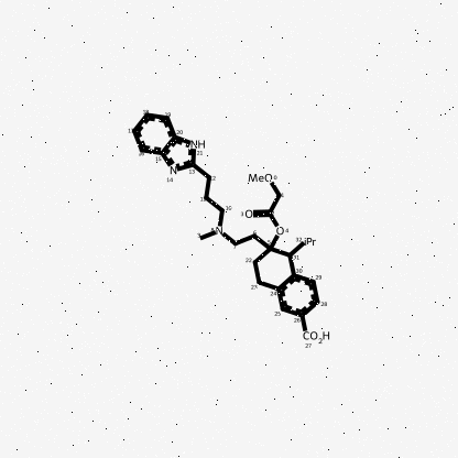 COCC(=O)OC1(CCN(C)CCCc2nc3ccccc3[nH]2)CCc2cc(C(=O)O)ccc2C1C(C)C